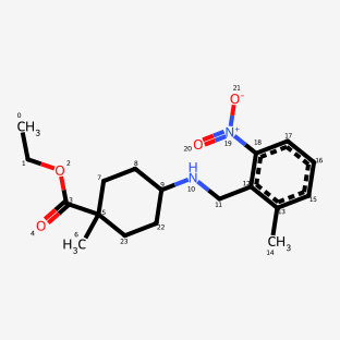 CCOC(=O)C1(C)CCC(NCc2c(C)cccc2[N+](=O)[O-])CC1